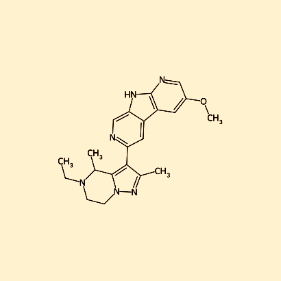 CCN1CCn2nc(C)c(-c3cc4c(cn3)[nH]c3ncc(OC)cc34)c2C1C